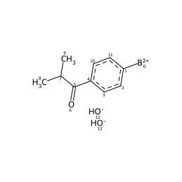 [B+2]c1ccc(C(=O)C(C)C)cc1.[OH-].[OH-]